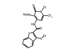 CCSc1c(C(=O)Nc2cc(C(F)(F)F)n(CC)c(=O)c2NC)sc2ccccc12